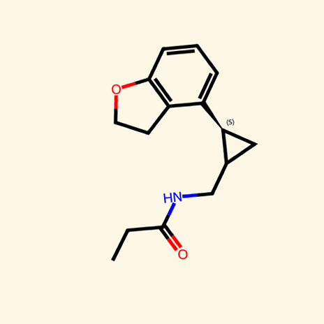 CCC(=O)NCC1C[C@@H]1c1cccc2c1CCO2